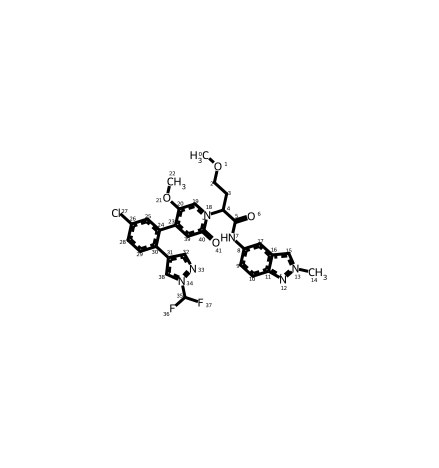 COCCC(C(=O)Nc1ccc2nn(C)cc2c1)n1cc(OC)c(-c2cc(Cl)ccc2-c2cnn(C(F)F)c2)cc1=O